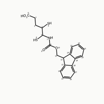 O=C(O)CCC(S)C(S)NC(=O)OCC1c2ccccc2-c2ccccc21